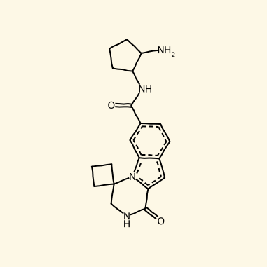 NC1CCCC1NC(=O)c1ccc2cc3n(c2c1)C1(CCC1)CNC3=O